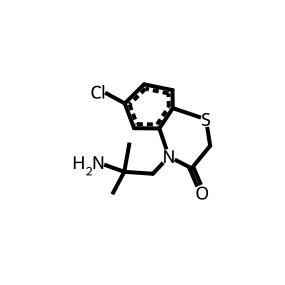 CC(C)(N)CN1C(=O)CSc2ccc(Cl)cc21